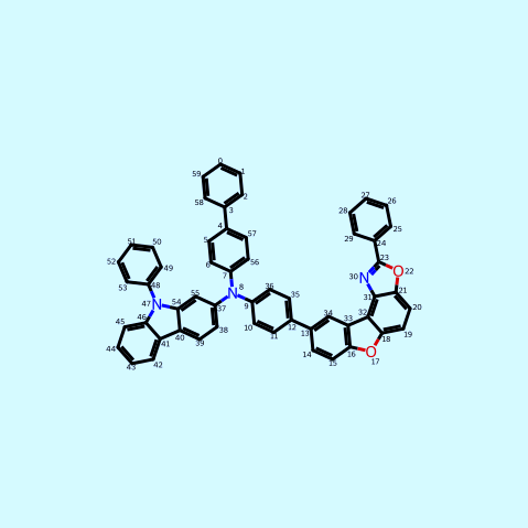 c1ccc(-c2ccc(N(c3ccc(-c4ccc5oc6ccc7oc(-c8ccccc8)nc7c6c5c4)cc3)c3ccc4c5ccccc5n(-c5ccccc5)c4c3)cc2)cc1